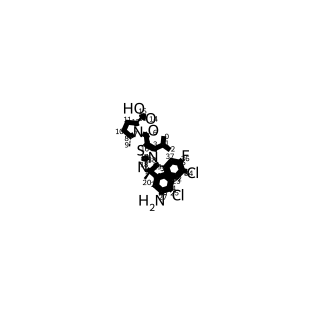 CC(C)C1=C(C(=O)N2[C@H](C)CC[C@H]2C(=O)O)SC2=N[C@@](C)(c3ccc(Cl)c(N)c3)[C@@H](c3ccc(Cl)c(F)c3)N21